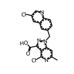 Cc1cc2c(c(Cl)n1)c(C(=O)O)nn2Cc1ccc2ncc(Cl)cc2c1